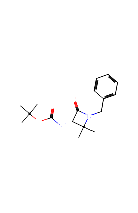 CC(C)(C)OC(=O)N[C@@H]1C(=O)N(Cc2ccccc2)C1(C)C